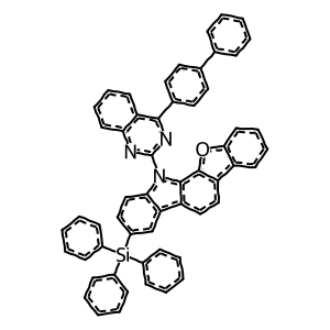 c1ccc(-c2ccc(-c3nc(-n4c5ccc([Si](c6ccccc6)(c6ccccc6)c6ccccc6)cc5c5ccc6c7ccccc7oc6c54)nc4ccccc34)cc2)cc1